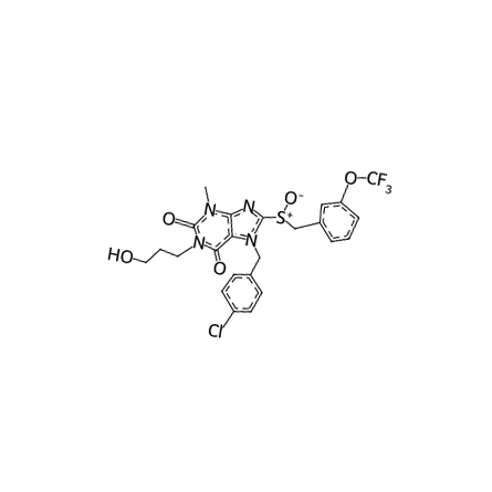 Cn1c(=O)n(CCCO)c(=O)c2c1nc([S+]([O-])Cc1cccc(OC(F)(F)F)c1)n2Cc1ccc(Cl)cc1